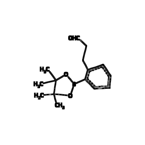 CC1(C)OB(c2ccccc2CCC=O)OC1(C)C